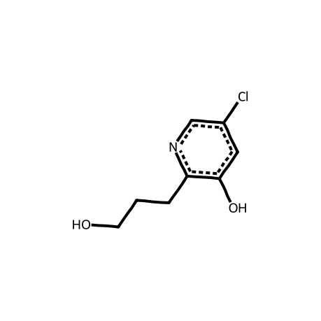 OCCCc1ncc(Cl)cc1O